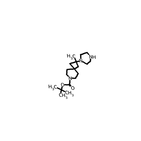 CC(C)(C)OC(=O)N1CCC2(CC1)CC(C)(N1CCNCC1)C2